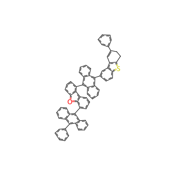 C1=C(c2ccccc2)CCc2sc3ccc(-c4c5ccccc5c(-c5cccc6oc7c(-c8c9ccccc9c(-c9ccccc9)c9ccccc89)cccc7c56)c5ccccc45)cc3c21